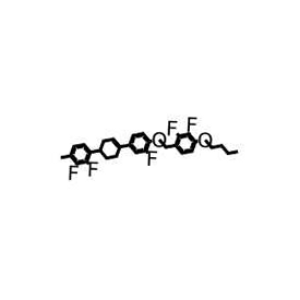 CCCCOc1ccc(COc2ccc(C3=CCC(c4ccc(C)c(F)c4F)CC3)cc2F)c(F)c1F